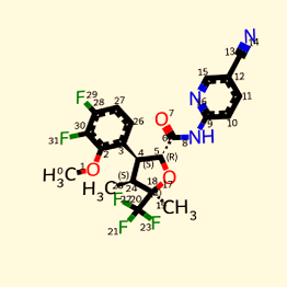 COc1c([C@H]2[C@H](C(=O)Nc3ccc(C#N)cn3)O[C@@](C)(C(F)(F)F)[C@H]2C)ccc(F)c1F